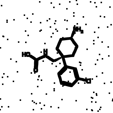 N[C@H]1CC[C@@](CNC(=O)O)(c2cccc(Cl)c2)CC1